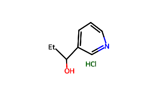 CCC(O)c1cccnc1.Cl